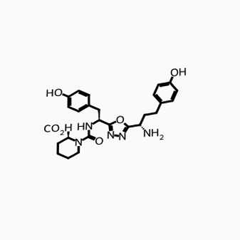 N[C@@H](CCc1ccc(O)cc1)c1nnc([C@H](Cc2ccc(O)cc2)NC(=O)N2CCCC[C@H]2C(=O)O)o1